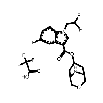 O=C(O)C(F)(F)F.O=C(OC1CC2COCC(C1)N2)c1cn(CC(F)F)c2ccc(F)cc12